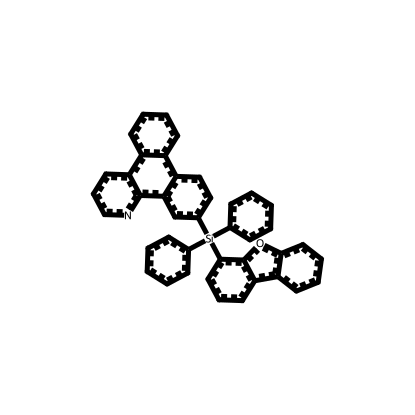 c1ccc([Si](c2ccccc2)(c2ccc3c4ccccc4c4cccnc4c3c2)c2cccc3c2oc2ccccc23)cc1